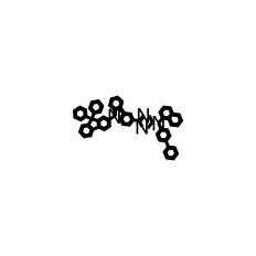 C1=NC(c2ccc3c(c2)c2ccccc2n3-c2ccc3c(c2)C(c2ccccc2)(c2ccccc2)c2ccccc2-3)=NCC1N(c1ccc(-c2ccccc2)cc1)c1cccc2ccccc12